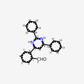 O=Cc1ccccc1-c1cc(-c2ccccc2)nc(-c2ccccc2)n1